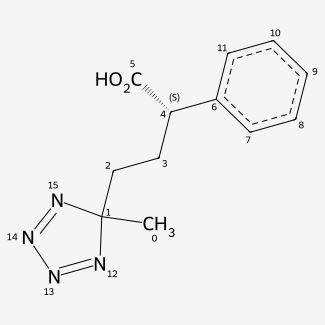 CC1(CC[C@H](C(=O)O)c2ccccc2)N=NN=N1